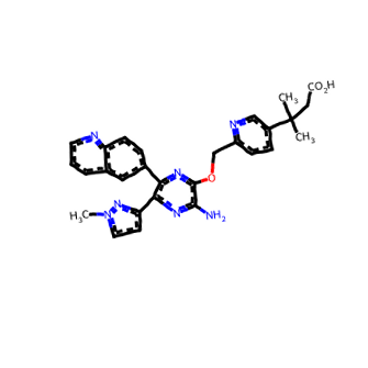 Cn1ccc(-c2nc(N)c(OCc3ccc(C(C)(C)CC(=O)O)cn3)nc2-c2ccc3ncccc3c2)n1